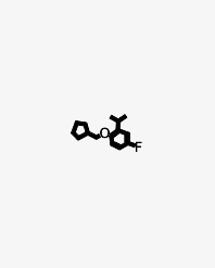 CC(C)c1cc(F)ccc1OCC1CCCC1